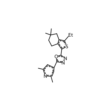 CCc1sc(-c2nnc(-c3cc(C)nc(C)c3)o2)c2c1CC(C)(C)CC2